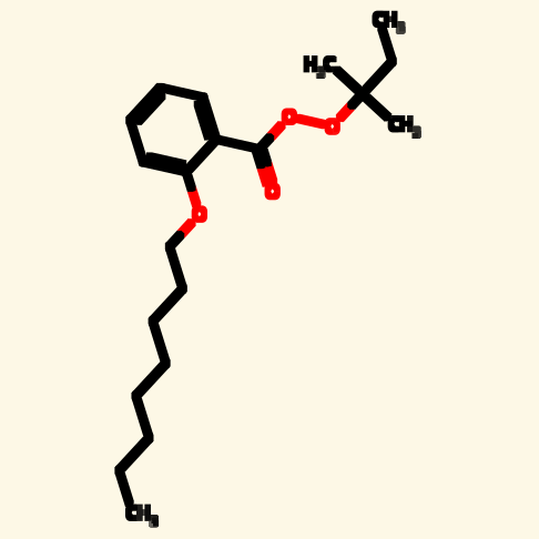 CCCCCCCCOc1ccccc1C(=O)OOC(C)(C)CC